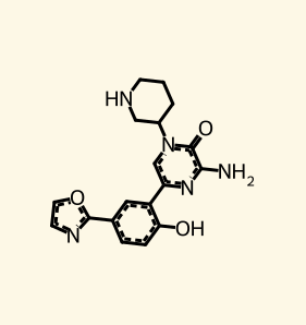 Nc1nc(-c2cc(-c3ncco3)ccc2O)cn(C2CCCNC2)c1=O